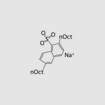 CCCCCCCCc1ccc2c(S(=O)(=O)[O-])c(CCCCCCCC)ccc2c1.[Na+]